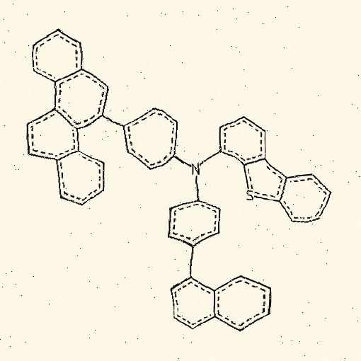 c1ccc2c(-c3ccc(N(c4ccc(-c5cc6ccccc6c6ccc7ccccc7c56)cc4)c4cccc5c4sc4ccccc45)cc3)cccc2c1